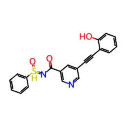 O=C(N=[SH](=O)c1ccccc1)c1cncc(C#Cc2ccccc2O)c1